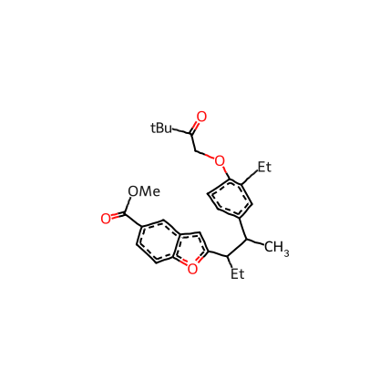 CCc1cc(C(C)C(CC)c2cc3cc(C(=O)OC)ccc3o2)ccc1OCC(=O)C(C)(C)C